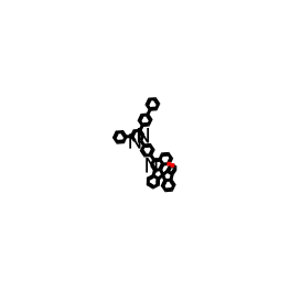 c1ccc(-c2ccc(-c3cc(-c4ccccc4)nc(-c4ccc(-c5nc6c(c7ccccc57)C5(c7ccccc7-c7ccccc75)c5ccccc5-6)cc4)n3)cc2)cc1